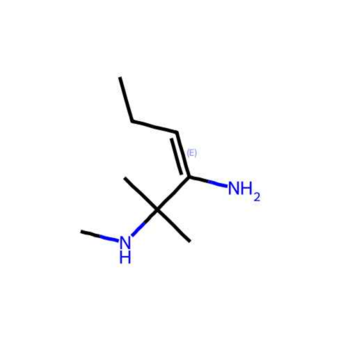 CC/C=C(/N)C(C)(C)NC